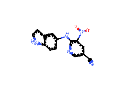 N#Cc1cnc(Nc2ccc3[nH]ccc3c2)c([N+](=O)[O-])c1